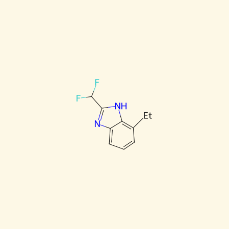 CCc1cccc2nc(C(F)F)[nH]c12